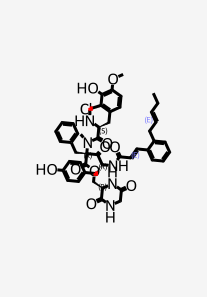 CC/C=C/Cc1ccccc1/C=C/C(=O)N[C@H](Cc1ccc(O)cc1)C(=O)[C@](Cc1ccccc1)(C(=O)OC[C@H]1NC(=O)CNC1=O)N(C)C(=O)[C@H](Cc1ccc(OC)c(O)c1Cl)NC